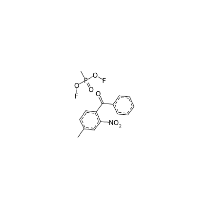 CP(=O)(OF)OF.Cc1ccc(C(=O)c2ccccc2)c([N+](=O)[O-])c1